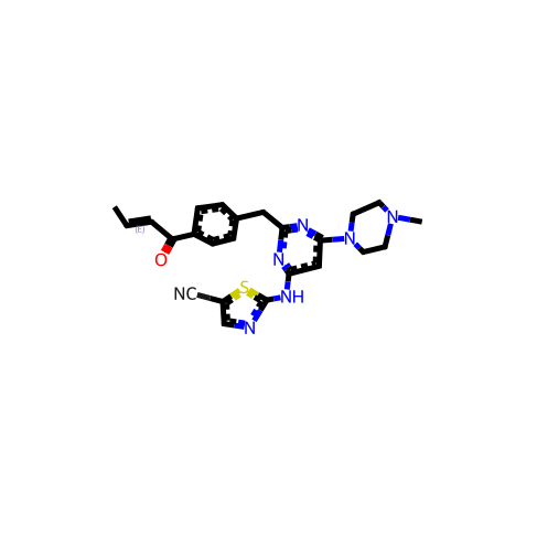 C/C=C/C(=O)c1ccc(Cc2nc(Nc3ncc(C#N)s3)cc(N3CCN(C)CC3)n2)cc1